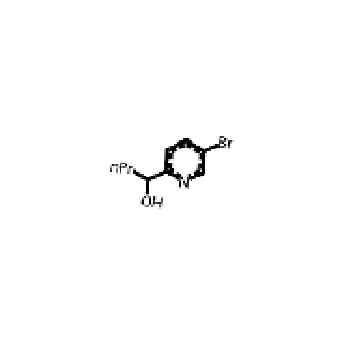 CCCC(O)c1ccc(Br)cn1